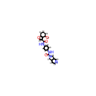 O=C(Nc1ccc(NC(=O)N2Cc3ccncc3C2)cc1)c1coc2c1C(=O)CCC2